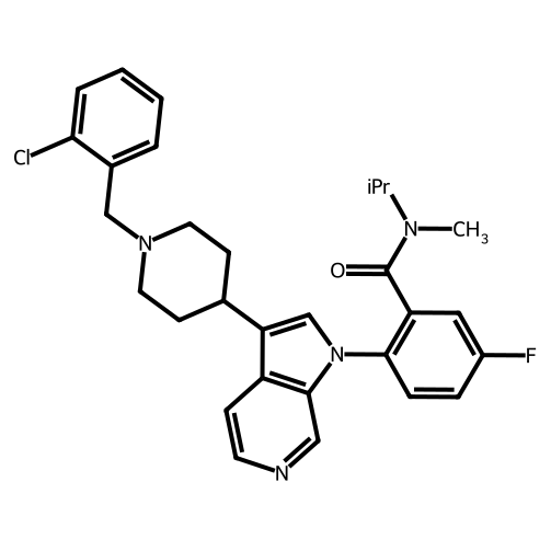 CC(C)N(C)C(=O)c1cc(F)ccc1-n1cc(C2CCN(Cc3ccccc3Cl)CC2)c2ccncc21